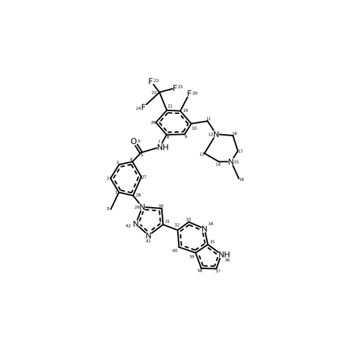 Cc1ccc(C(=O)Nc2cc(CN3CCN(C)CC3)c(F)c(C(F)(F)F)c2)cc1-n1cc(-c2cnc3[nH]ccc3c2)nn1